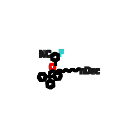 CCCCCCCCCCCCCCCCCC[C@@H](CC(c1ccccc1)(c1ccccc1)c1ccccc1)OCc1cc(F)cc(C#N)c1